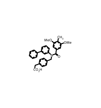 COc1cc(C(=O)N(Cc2ccc(CC(=O)O)cc2)c2cccc(-c3ccccc3)c2)cc(OC)c1C